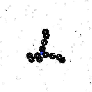 c1ccc2cc(-c3ccc(-c4ccc5c(c4)c4cc(-c6ccc(-c7ccc8ccccc8c7)cc6)ccc4n5-c4ccc(-c5cccc6ccccc56)c5ccccc45)cc3)ccc2c1